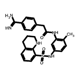 Cc1ccc(NS(=O)(=O)c2cccc3c2NCCC3)cc1NC(=O)Cc1ccc(C(=N)N)cc1